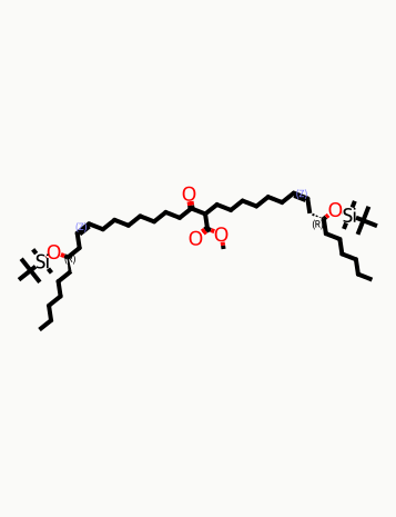 CCCCCC[C@H](C/C=C\CCCCCCCC(=O)C(CCCCCC/C=C\C[C@@H](CCCCCC)O[Si](C)(C)C(C)(C)C)C(=O)OC)O[Si](C)(C)C(C)(C)C